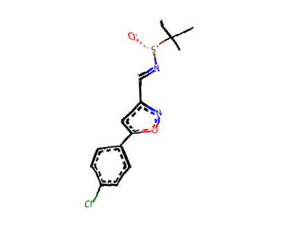 CC(C)(C)[S@@+]([O-])N=Cc1cc(-c2ccc(Cl)cc2)on1